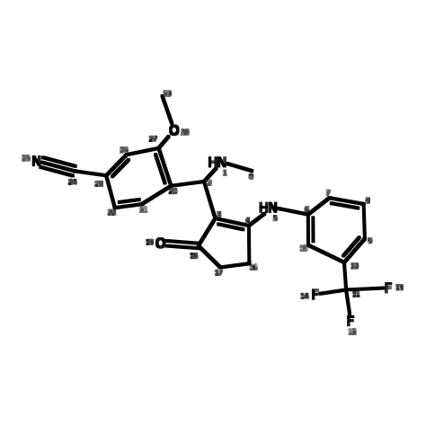 CNC(C1=C(Nc2cccc(C(F)(F)F)c2)CCC1=O)c1ccc(C#N)cc1OC